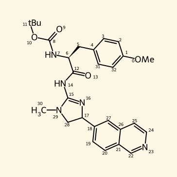 COc1ccc(C[C@H](NC(=O)OC(C)(C)C)C(=O)NC2=NC(c3ccc4cnccc4c3)CN2C)cc1